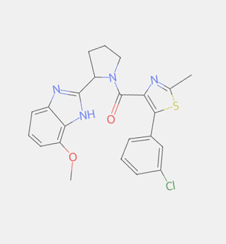 COc1cccc2nc(C3CCCN3C(=O)c3nc(C)sc3-c3cccc(Cl)c3)[nH]c12